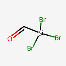 O=C[Si](Br)(Br)Br